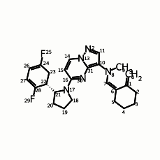 C=C1CCCC/C1=C/N(C)c1cnn2ccc(N3CCCC3[C@H]3CC(F)=CC=C3F)nc12